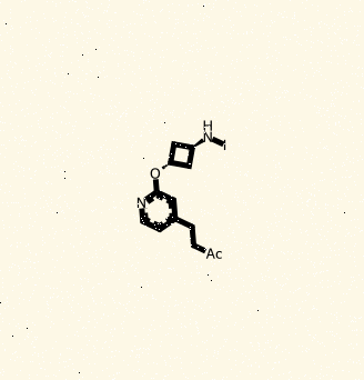 CC(=O)CCc1ccnc(O[C@H]2C[C@H](NI)C2)c1